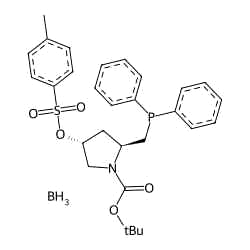 B.Cc1ccc(S(=O)(=O)O[C@@H]2C[C@@H](CP(c3ccccc3)c3ccccc3)N(C(=O)OC(C)(C)C)C2)cc1